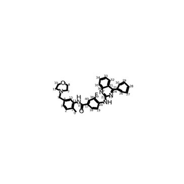 Cc1ccc(CN2CCOCC2)cc1NC(=O)c1ccc(Nc2nc(-c3ccccc3)c3ccccc3n2)c(F)c1